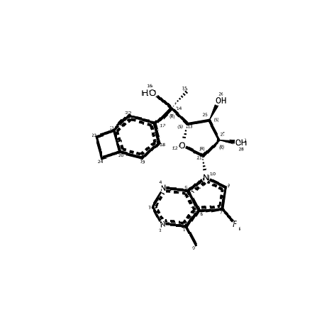 Cc1ncnc2c1c(F)cn2[C@@H]1O[C@H]([C@](C)(O)c2ccc3c(c2)CC3)[C@@H](O)[C@H]1O